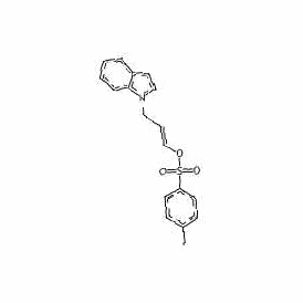 Cc1ccc(S(=O)(=O)OC=CCn2ccc3ccccc32)cc1